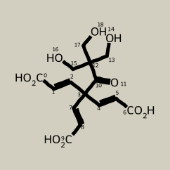 O=C(O)C=CC(C=CC(=O)O)(C=CC(=O)O)C(=O)C(CO)(CO)CO